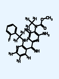 [2H]c1nc(NC([2H])([2H])c2ccccc2F)c(C(=N)c2nc(N)c(N(C(=O)OC)C([2H])([2H])[2H])c(N)n2)c([2H])c1[2H]